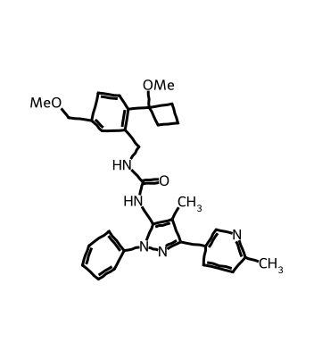 COCc1ccc(C2(OC)CCC2)c(CNC(=O)Nc2c(C)c(-c3ccc(C)nc3)nn2-c2ccccc2)c1